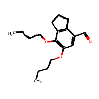 CCCCOc1cc(C=O)c2c(c1OCCCC)CCC2